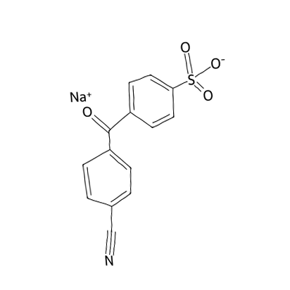 N#Cc1ccc(C(=O)c2ccc(S(=O)(=O)[O-])cc2)cc1.[Na+]